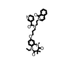 CCN1C(=O)C(C)(C)C(=O)N(C)c2cc(OCCCN(CCn3ccc4ccccc4c3=O)C(=O)c3cccnc3)ccc21